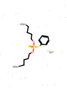 CCCCCCCCCCCCCCOP(=S)(OCCCCCCCCCCCCCC)Sc1ccccc1.[S-2].[Zn+2]